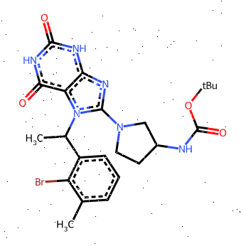 Cc1cccc(C(C)n2c(N3CCC(NC(=O)OC(C)(C)C)C3)nc3[nH]c(=O)[nH]c(=O)c32)c1Br